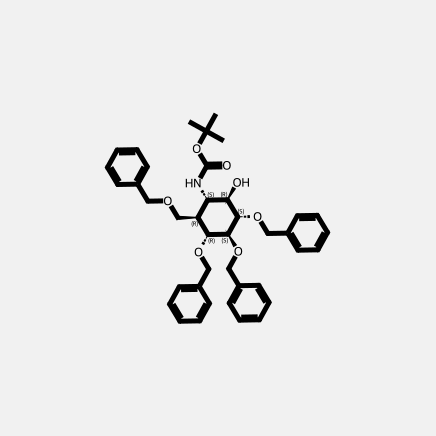 CC(C)(C)OC(=O)N[C@@H]1[C@@H](O)[C@H](OCc2ccccc2)[C@@H](OCc2ccccc2)[C@H](OCc2ccccc2)[C@H]1COCc1ccccc1